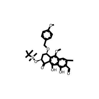 COc1ccc(CO[C@@H]2C[C@H](O[Si](C)(C)C(C)(C)C)C(=O)c3c2c(OC)c2cc(C)c(C=O)c(O)c2c3O)cc1